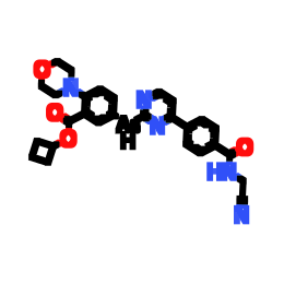 N#CCNC(=O)c1ccc(-c2ccnc([AsH]c3ccc(N4CCOCC4)c(C(=O)OC4CCC4)c3)n2)cc1